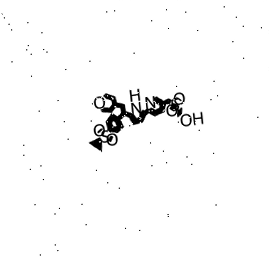 O=S(=O)(CCO)Cc1ccc(-c2ccc(C(CC3CCOCC3)c3ccc(S(=O)(=O)C4CC4)cc3)[nH]2)nc1